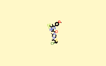 C=C(c1sccc1Cl)N1CCN(C(=O)c2cnn3c(C(F)(F)F)c(C)c(-c4ccc(OC)cc4)nc23)[C@H](C)C1